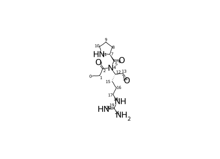 CCC(=O)N(C(=O)[C@@H]1CCCN1)[C@H](C=O)CCCNC(=N)N